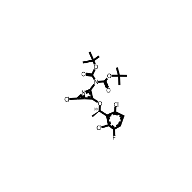 C[C@@H](Oc1c2c(Cl)n-2c1N(C(=O)OC(C)(C)C)C(=O)OC(C)(C)C)c1c(Cl)ccc(F)c1Cl